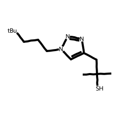 CC(C)(C)CCCn1cc(CC(C)(C)S)nn1